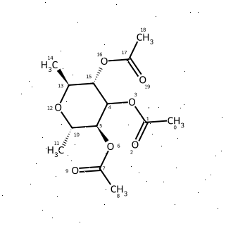 CC(=O)OC1[C@@H](OC(C)=O)[C@H](C)O[C@@H](C)[C@@H]1OC(C)=O